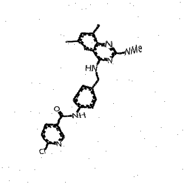 CNc1nc(NCc2ccc(NC(=O)c3ccc(Cl)nc3)cc2)c2cc(C)cc(C)c2n1